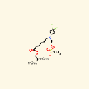 CCCCCCCCC(CCCCCCCC)COC(=O)CCCCCN(CCOS(C)(=O)=O)C1CC(F)(F)C1